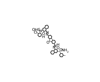 Cc1cccc(C(ON)c2cc3ccccc3c(N=Nc3ccc4c(c3)C(=O)c3cc(N=Nc5c(O)c(N(C=O)c6ccccc6Cl)cc6ccccc56)ccc3-4)c2O)c1